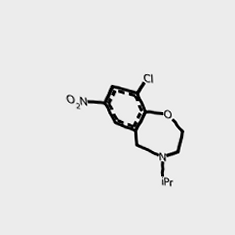 CC(C)N1CCOc2c(Cl)cc([N+](=O)[O-])cc2C1